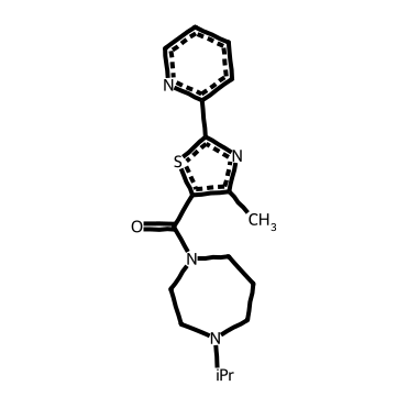 Cc1nc(-c2ccccn2)sc1C(=O)N1CCCN(C(C)C)CC1